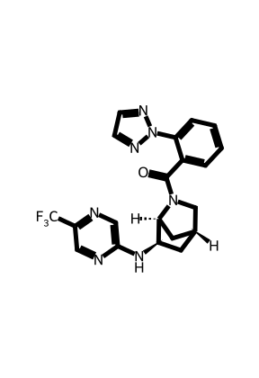 O=C(c1ccccc1-n1nccn1)N1C[C@@H]2C[C@@H](Nc3cnc(C(F)(F)F)cn3)[C@@H]1C2